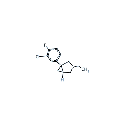 CCN1C[C@@H]2C[C@]2(c2ccc(F)c(Cl)c2)C1